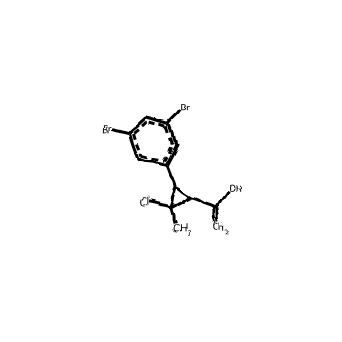 C=C(O)C1C(c2cc(Br)cc(Br)c2)C1(C)Cl